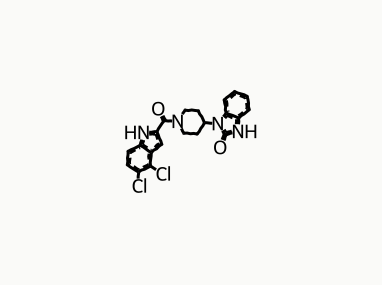 O=C(c1cc2c(Cl)c(Cl)ccc2[nH]1)N1CCC(n2c(=O)[nH]c3ccccc32)CC1